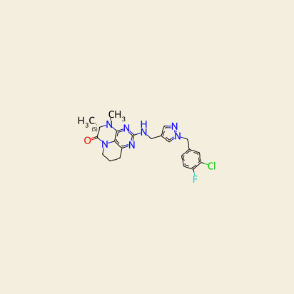 C[C@H]1C(=O)N2CCCc3nc(NCc4cnn(Cc5ccc(F)c(Cl)c5)c4)nc(c32)N1C